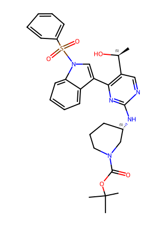 C[C@H](O)c1cnc(N[C@H]2CCCN(C(=O)OC(C)(C)C)C2)nc1-c1cn(S(=O)(=O)c2ccccc2)c2ccccc12